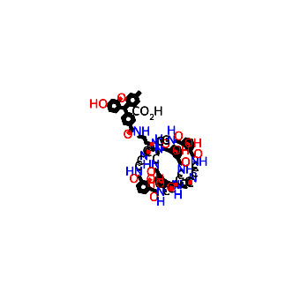 C=c1ccc2c(c1)Oc1cc(O)ccc1C=2c1ccc(C(=O)NCCCCC2CN3CCNC(=O)c4cccc(c4O)C(=O)NCCN(CCNC(=O)c4cccc(c4O)C(=O)N2)CCN2CCNC(=O)c4cccc(c4O)C(=O)NCCN(CCNC(=O)c4cccc(c4O)C(=O)NCC2)CC3)cc1C(=O)O